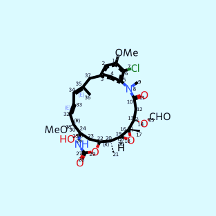 COc1cc2cc(c1Cl)N(C)C(=O)C[C@H](OC=O)[C@]1(C)O[C@H]1[C@H](C)C1C[C@@](O)(NC(=O)O1)[C@H](OC)/C=C/C=C(\C)C2